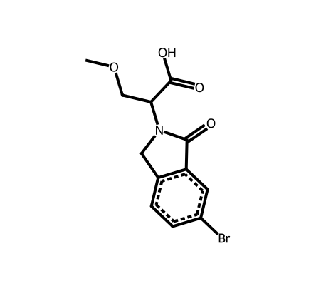 COCC(C(=O)O)N1Cc2ccc(Br)cc2C1=O